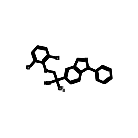 OC(COc1c(Cl)cccc1Cl)(c1ccc2c(cnn2-c2ccccc2)c1)C(F)(F)F